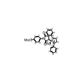 COc1ccc(N2C(=O)CC([PH]3(O)N(c4ccccc4)CCN3c3ccccc3)C2=O)cc1